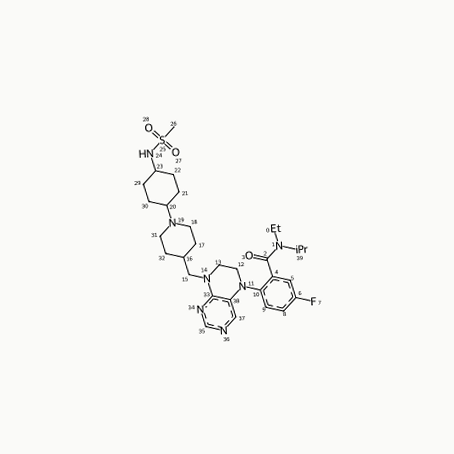 CCN(C(=O)c1cc(F)ccc1N1CCN(CC2CCN(C3CCC(NS(C)(=O)=O)CC3)CC2)c2ncncc21)C(C)C